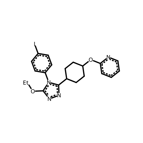 CCOc1nnc(C2CCC(Oc3ccccn3)CC2)n1-c1ccc(I)cc1